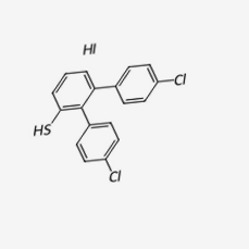 I.Sc1cccc(-c2ccc(Cl)cc2)c1-c1ccc(Cl)cc1